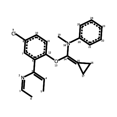 C/C=N\C(=C/C)c1cc(Cl)ccc1OC(=C1CC1)N(C)c1ccccc1